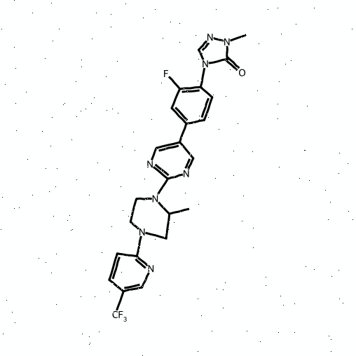 CC1CN(c2ccc(C(F)(F)F)cn2)CCN1c1ncc(-c2ccc(-n3cnn(C)c3=O)c(F)c2)cn1